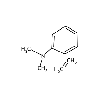 C=C.CN(C)c1ccccc1